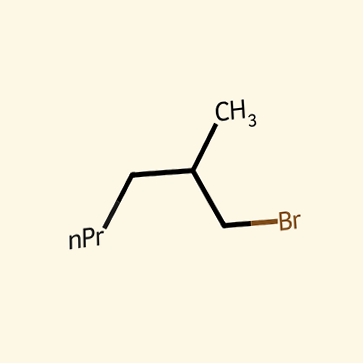 CCCCC(C)CBr